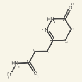 CCNC(=O)CCC1=NNC(=O)CC1